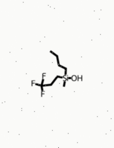 CCCC[Si](C)(O)CCC(F)(F)F